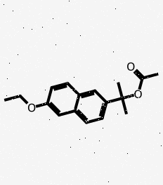 CCOc1ccc2cc(C(C)(C)OC(C)=O)ccc2c1